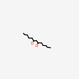 CCCCCC(=O)CC(=O)CCCCC